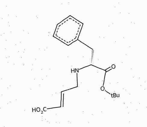 CC(C)(C)OC(=O)[C@@H](Cc1ccccc1)NC/C=C/C(=O)O